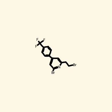 FC(F)(F)c1ccc(-c2cc(Br)nc(CCBr)c2)cc1